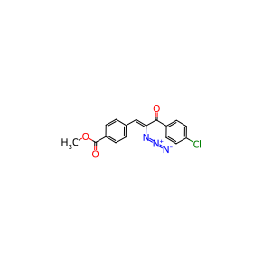 COC(=O)c1ccc(C=C(N=[N+]=[N-])C(=O)c2ccc(Cl)cc2)cc1